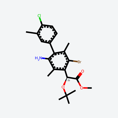 COC(=O)[C@@H](OC(C)(C)C)c1c(C)c(N)c(-c2ccc(Cl)c(C)c2)c(C)c1Br